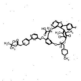 Cc1c(Cl)c2c(Cl)c(C)c1-c1c(-c3ccc(F)cc3)sc3ncnc(c13)O[C@@H](C(=O)O)Cc1cc(ccc1OCc1ccnc(C3=CC[C@H](CC(=O)OC(C)(C)C)CC3)n1)OC[C@@H](CN1CCN(C)CC1)O2